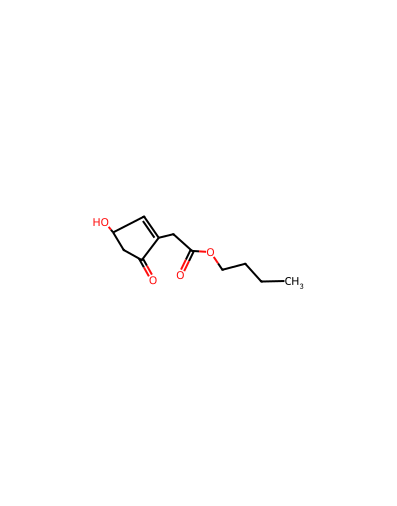 CCCCOC(=O)CC1=CC(O)CC1=O